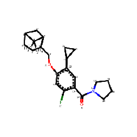 CC1(C)C2CCC(COc3cc(F)c(C(=O)N4CCCC4)cc3C3CC3)C1C2